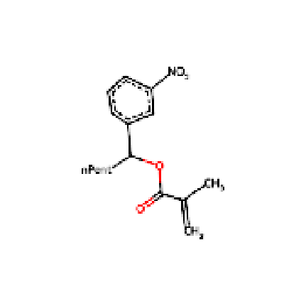 C=C(C)C(=O)OC(CCCCC)c1cccc([N+](=O)[O-])c1